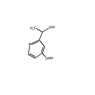 COc1ccnc(C(C)OC(C)=O)c1